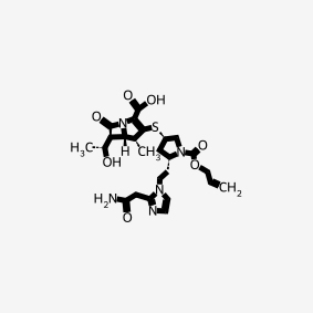 C=CCOC(=O)N1C[C@@H](SC2=C(C(=O)O)N3C(=O)[C@H]([C@@H](C)O)[C@H]3[C@H]2C)C[C@H]1CCn1ccnc1CC(N)=O